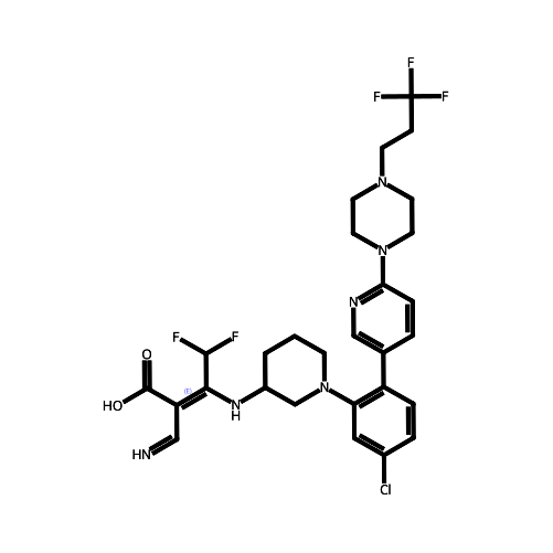 N=C/C(C(=O)O)=C(\NC1CCCN(c2cc(Cl)ccc2-c2ccc(N3CCN(CCC(F)(F)F)CC3)nc2)C1)C(F)F